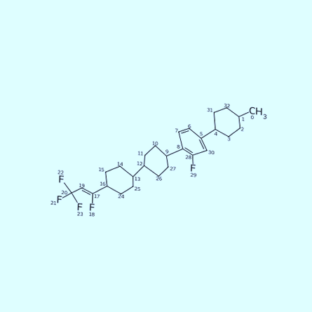 CC1CCC(c2ccc(C3CCC(C4CCC(/C(F)=C/C(F)(F)F)CC4)CC3)c(F)c2)CC1